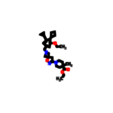 CCOC(=O)C1(C)CCN(C2=NOC3(C2)CN(Cc2cc(OCC)c(C4CCC4)c(C4CC4)c2)C3)CC1